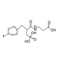 O=C(O)CCNC(=O)C(Cc1ccc(F)cc1)CP(=O)(O)O